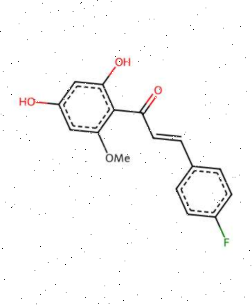 COc1cc(O)cc(O)c1C(=O)C=Cc1ccc(F)cc1